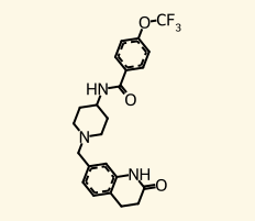 O=C1CCc2ccc(CN3CCC(NC(=O)c4ccc(OC(F)(F)F)cc4)CC3)cc2N1